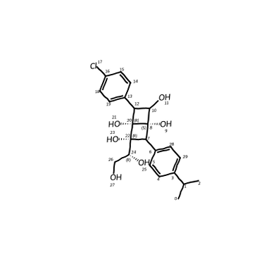 CC(C)c1ccc(C2[C@]3(O)C(O)C(c4ccc(Cl)cc4)[C@]3(O)[C@]2(O)[C@H](O)CO)cc1